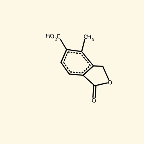 Cc1c(C(=O)O)ccc2c1COC2=O